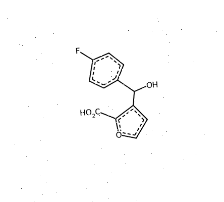 O=C(O)c1occc1C(O)c1ccc(F)cc1